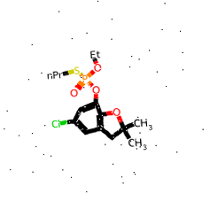 CCCSP(=O)(OCC)Oc1cc(Cl)cc2c1OC(C)(C)C2